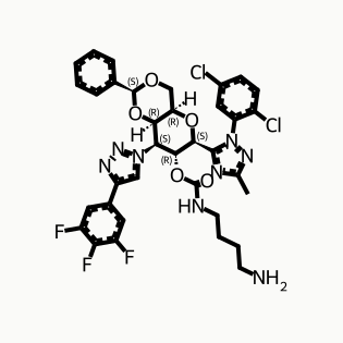 Cc1nc([C@@H]2O[C@@H]3CO[C@H](c4ccccc4)O[C@@H]3[C@H](n3cc(-c4cc(F)c(F)c(F)c4)nn3)[C@H]2OC(=O)NCCCCN)n(-c2cc(Cl)ccc2Cl)n1